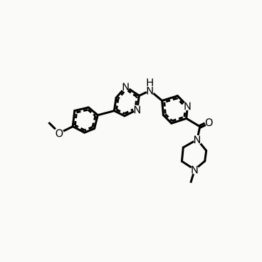 COc1ccc(-c2cnc(Nc3ccc(C(=O)N4CCN(C)CC4)nc3)nc2)cc1